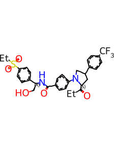 CCC(=O)[C@@H]1CC(c2ccc(C(F)(F)F)cc2)CN1c1ccc(C(=O)N[C@@H](CO)c2ccc(S(=O)(=O)CC)cc2)cc1